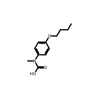 CCCCOc1ccc(N(C)C(=O)O)cc1